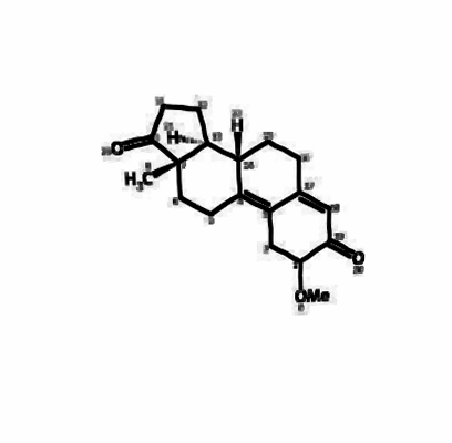 COC1CC2=C3CC[C@]4(C)C(=O)CC[C@H]4[C@@H]3CCC2=CC1=O